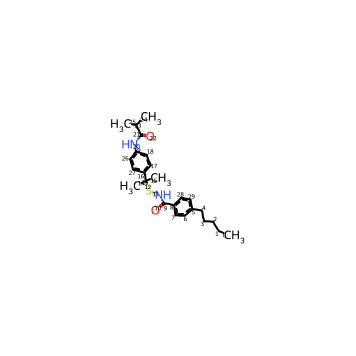 CCCCCc1ccc(C(=O)NSC(C)(C)c2ccc(NC(=O)C(C)C)cc2)cc1